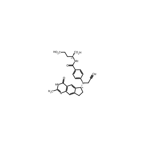 C#CCN(c1ccc(C(=O)N[C@@H](CCC(=O)O)C(=O)O)cc1)[C@@H]1CCc2cc3nc(C)[nH]c(=O)c3cc21